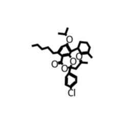 CCCCCc1cc(OC(C)C)c(C2C=C(C)CCC2)c2c1C(=O)OC(CC(C)=O)(c1ccc(Cl)cc1)O2